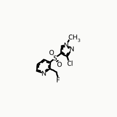 Cn1cc(S(=O)(=O)c2cccnc2CF)c(Cl)n1